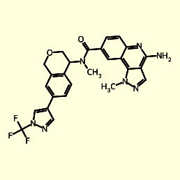 CN(C(=O)c1ccc2nc(N)c3cnn(C)c3c2c1)C1COCc2cc(-c3cnn(C(F)(F)F)c3)ccc21